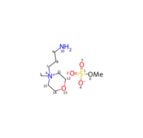 COS(=O)(=O)[O-].C[N+]1(CCCN)CCOCC1